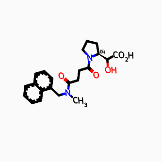 CN(Cc1cccc2ccccc12)C(=O)CCC(=O)N1CCC[C@H]1C(O)C(=O)O